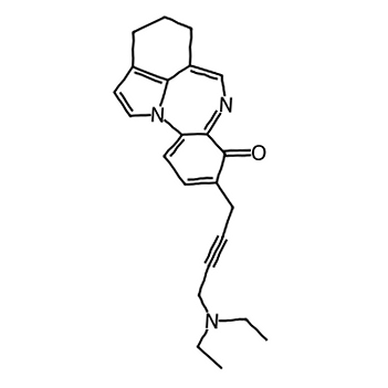 CCN(CC)CC#CCc1ccc2n3ccc4c3c(cnc-2c1=O)CCC4